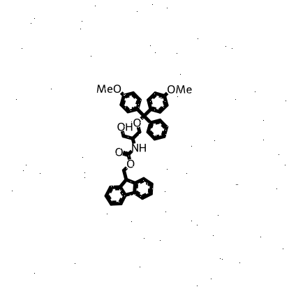 COc1ccc(C(OCC(CO)NC(=O)OCC2c3ccccc3-c3ccccc32)(c2ccccc2)c2ccc(OC)cc2)cc1